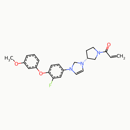 C=CC(=O)N1CC[C@@H](N2C=CN(c3ccc(Oc4cccc(OC)c4)c(F)c3)C2)C1